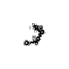 O=C1CC[C@@H](N2Cc3c(OCc4ccc(C(=O)NCCCN5CCCCC5)cc4)cccc3C2=O)C(=O)N1